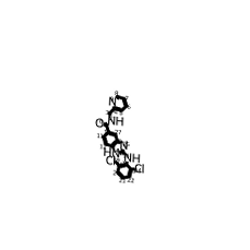 O=C(NCc1ccccn1)c1ccc2[nH]c(Nc3c(Cl)cccc3Cl)nc2c1